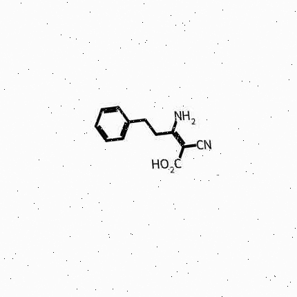 N#CC(C(=O)O)=C(N)CCc1ccccc1